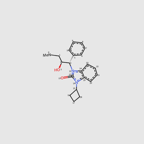 CNC[C@H](O)[C@H](c1ccccc1)n1c(=O)n(C2CCC2)c2ccccc21